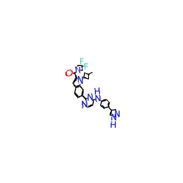 CC1CC(n2c(C(=O)N3CC(F)(F)C3)cc3ccc(-c4nccc(Nc5ccc(-c6cn[nH]c6)cc5)n4)cc32)C1